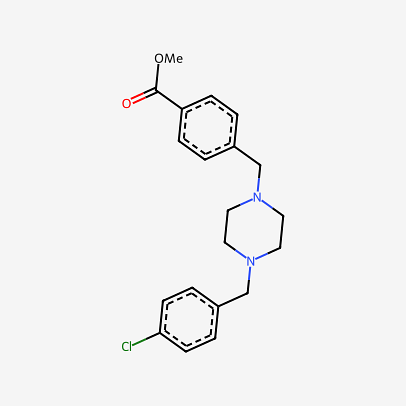 COC(=O)c1ccc(CN2CCN(Cc3ccc(Cl)cc3)CC2)cc1